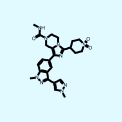 CNC(=O)N1CCn2c(C3CCS(=O)(=O)CC3)nc(-c3ccc4c(c3)c(-c3cnn(C)c3)nn4C)c2C1